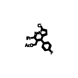 CC(=O)OCc1c(C(C)C)nn2c(Cl)ccc2c1-c1ccc(F)cc1